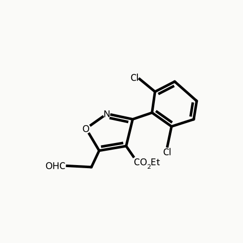 CCOC(=O)c1c(-c2c(Cl)cccc2Cl)noc1CC=O